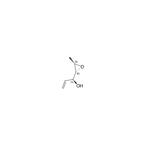 C=C[C@H](O)[C@H]1O[C@@H]1C